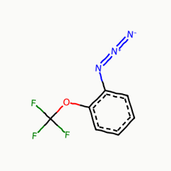 [N-]=[N+]=Nc1ccccc1OC(F)(F)F